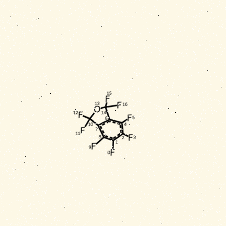 Fc1c(F)c(F)c2c(c1F)C(F)(F)OC2(F)F